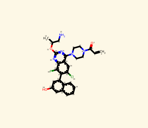 C=CC(=O)N1CCN(c2nc(OC(C)CN)nc3c(F)c(-c4cc(O)cc5ccccc45)c(Cl)cc23)CC1